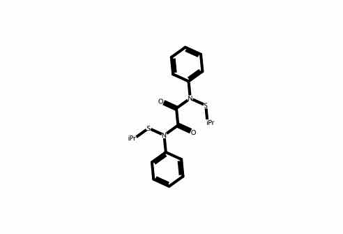 CC(C)SN(C(=O)C(=O)N(SC(C)C)c1ccccc1)c1ccccc1